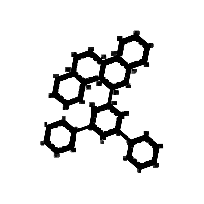 c1ccc(-c2nc(-c3ccccc3)nc(-c3cc4ccccc4c4ccc5ccccc5c34)n2)cc1